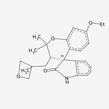 CCOc1ccc2c(c1)OC(C)(C)C(CC1(C)COC1)[C@]21C(=O)Nc2ccccc21